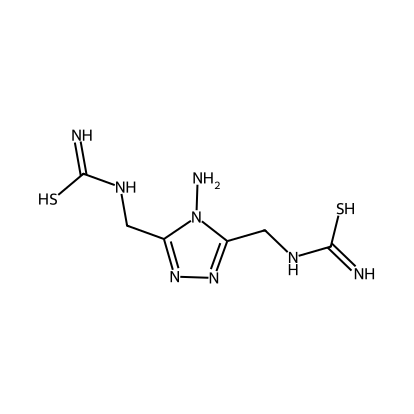 N=C(S)NCc1nnc(CNC(=N)S)n1N